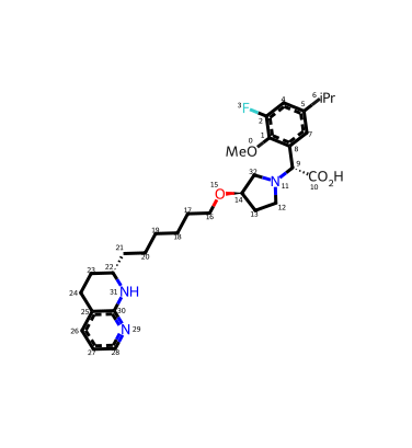 COc1c(F)cc(C(C)C)cc1[C@H](C(=O)O)N1CC[C@@H](OCCCCCC[C@H]2CCc3cccnc3N2)C1